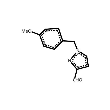 COc1ccc(Cn2ccc(C=O)n2)cc1